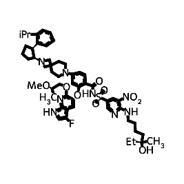 CC[C@@](C)(O)CCCCNc1ncc(S(=O)(=O)NC(=O)c2ccc(N3CCC4(CC3)CN([C@H]3CCC[C@H]3c3ccccc3C(C)C)C4)cc2Oc2cc3c(F)c[nH]c3nc2OC[C@H](C)OC)cc1[N+](=O)[O-]